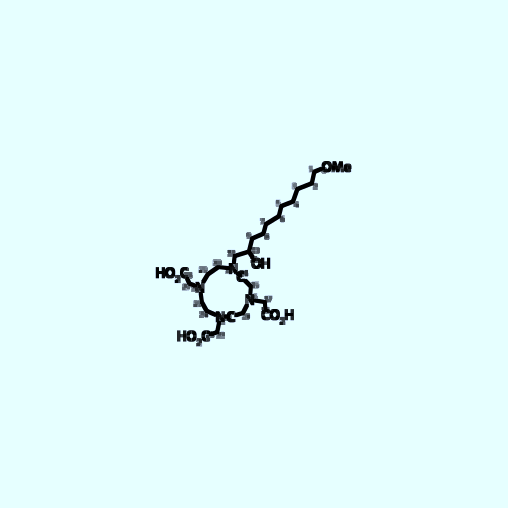 COCCCCCCCCCC(O)CN1CCN(CC(=O)O)CCN(CC(=O)O)CCN(CC(=O)O)CC1